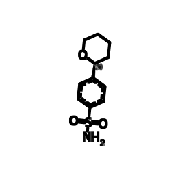 NS(=O)(=O)c1ccc([C@@H]2CCCCO2)cc1